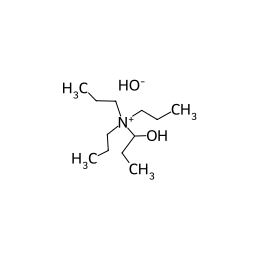 CCC[N+](CCC)(CCC)C(O)CC.[OH-]